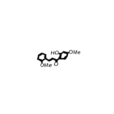 COc1ccc(C(=O)/C=C/c2ccccc2OC)c(O)c1